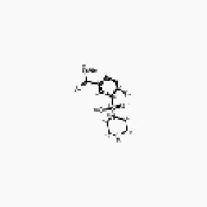 COC(=O)c1ccc(F)c(S(=O)(=O)N2CCOCC2)c1